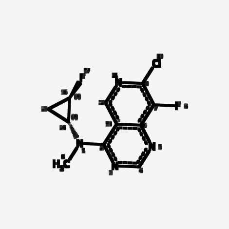 CN(c1ncnc2c(F)c(Cl)ncc12)[C@@H]1C[C@H]1F